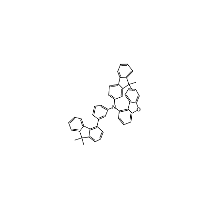 CC1(C)c2ccccc2-c2ccc(N(c3cccc(-c4cccc5c4-c4ccccc4C5(C)C)c3)c3cccc4oc5ccccc5c34)cc21